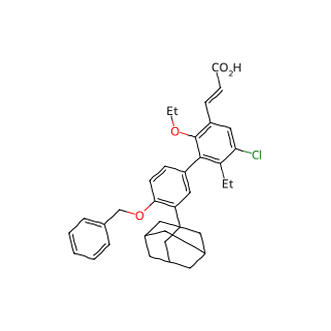 CCOc1c(C=CC(=O)O)cc(Cl)c(CC)c1-c1ccc(OCc2ccccc2)c(C23CC4CC(CC(C4)C2)C3)c1